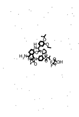 CCOc1cc([C@H](Nc2ccc3c(N)nccc3c2)C(=O)N2CCC[C@@H]2c2cc(NC(=O)OC)ccc2S(=O)(=O)C(C)C)ccc1OC(C)C.O=C(O)C(F)(F)F